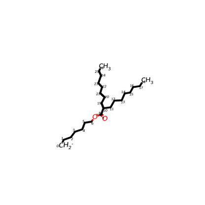 [CH2]CCCCCCOC(=O)C(CCCCCCCC)CCCCCCCC